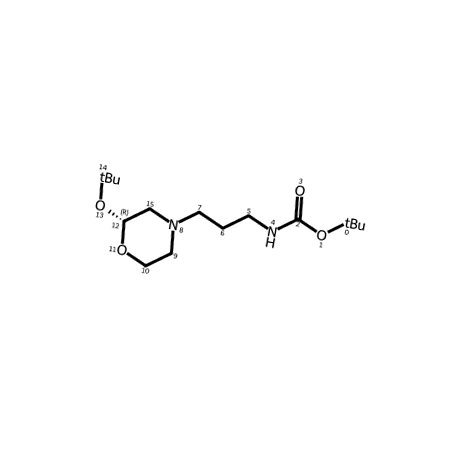 CC(C)(C)OC(=O)NCCCN1CCO[C@H](OC(C)(C)C)C1